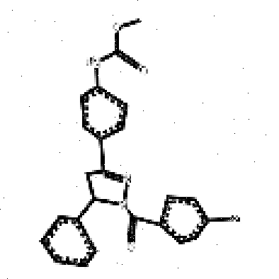 COC(=O)Nc1ccc(C2=NN(C(=O)c3ccc(Br)cc3)C(c3ccccc3)C2)cc1